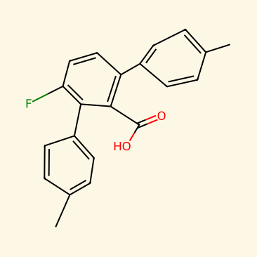 Cc1ccc(-c2ccc(F)c(-c3ccc(C)cc3)c2C(=O)O)cc1